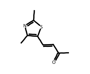 CC(=O)C=Cc1sc(C)nc1C